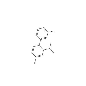 Cc1cc(-c2ccc(I)cc2N(C)C)ccn1